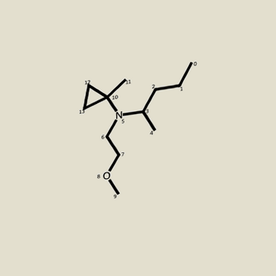 CCCC(C)N(CCOC)C1(C)CC1